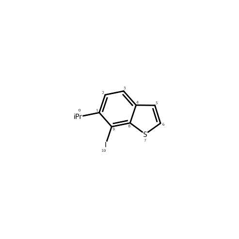 CC(C)c1ccc2ccsc2c1I